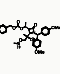 COc1ccc(C(c2ccc(OC)cc2)N2C(=O)[C@H](C(C)OC(=O)OCc3ccccc3)[C@@H]2C(C)(CO[SiH](C)C)C(C)(C)C)cc1